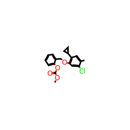 COC(=O)Oc1ccccc1COc1cc(Cl)c(C)cc1C1CC1